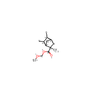 CCOCOC(=O)C1(C(F)(F)F)CC2CC1C(C)C2C